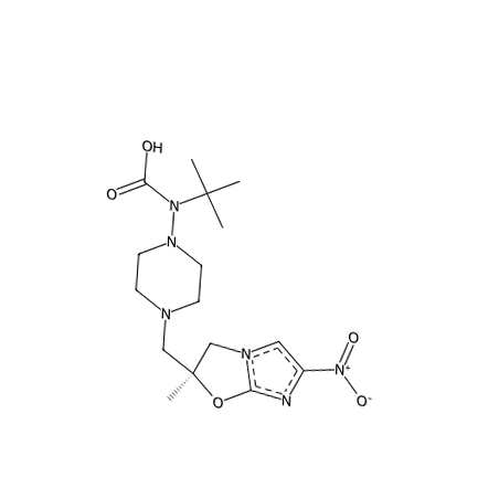 CC(C)(C)N(C(=O)O)N1CCN(C[C@@]2(C)Cn3cc([N+](=O)[O-])nc3O2)CC1